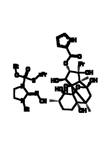 CC(C)[C@@]1(O)[C@@H](OC(=O)c2ccc[nH]2)[C@@]2(O)[C@@]3(C)C[C@]4(O)O[C@@]5([C@H](O)[C@@H](C)CC[C@]35O)[C@@]2(O)[C@@]14C.CCCSP(=O)(OCC)N1CCN(CC)/C1=N\C#N